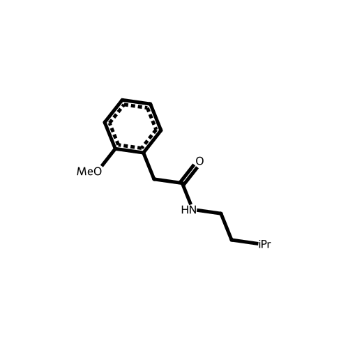 COc1ccccc1CC(=O)NCCC(C)C